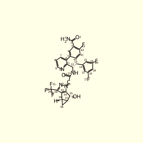 NC(=O)c1cc(-c2cccnc2[C@H](Cc2cc(F)cc(F)c2)NC(=O)Cn2nc(C(F)(F)F)c3c2[C@H](O)C2C[C@H]32)ccc1F